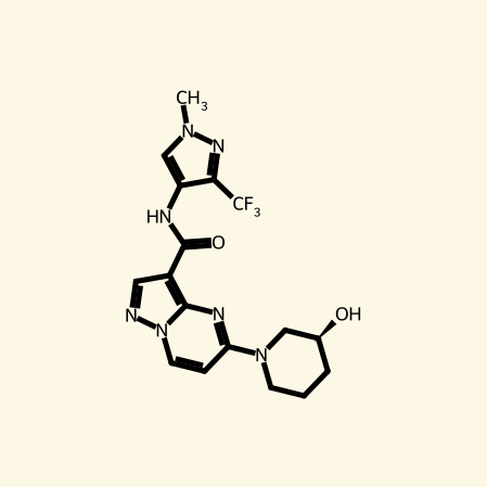 Cn1cc(NC(=O)c2cnn3ccc(N4CCC[C@H](O)C4)nc23)c(C(F)(F)F)n1